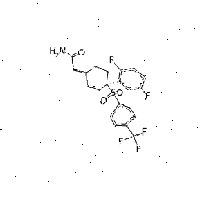 NC(=O)C[C@H]1CC[C@@](c2cc(F)ccc2F)(S(=O)(=O)c2ccc(C(F)(F)F)cc2)CC1